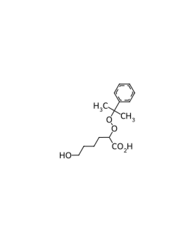 CC(C)(OOC(CCCCO)C(=O)O)c1ccccc1